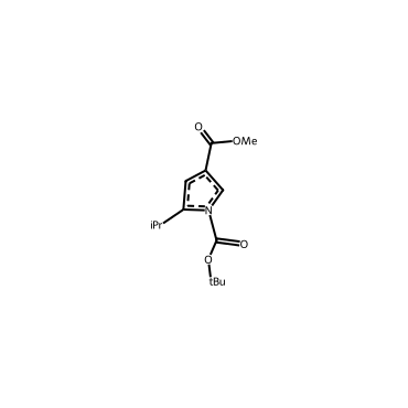 COC(=O)c1cc(C(C)C)n(C(=O)OC(C)(C)C)c1